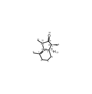 CC1=[N+]2[C@H](CCC1)[C@H](C)C(=O)N2C